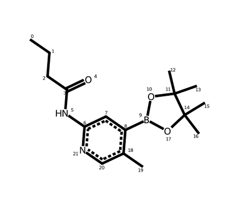 CCCC(=O)Nc1cc(B2OC(C)(C)C(C)(C)O2)c(C)cn1